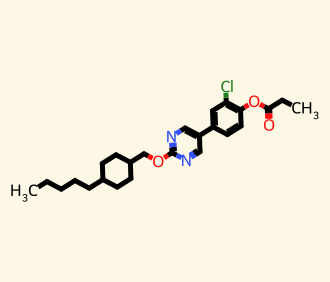 CCCCCC1CCC(COc2ncc(-c3ccc(OC(=O)CC)c(Cl)c3)cn2)CC1